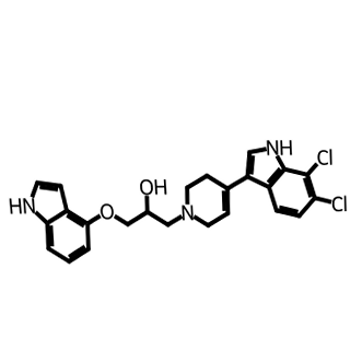 OC(COc1cccc2[nH]ccc12)CN1CC=C(c2c[nH]c3c(Cl)c(Cl)ccc23)CC1